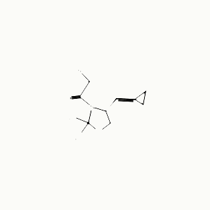 CC1(C)OC[C@H](C=C2CC2)N1C(=O)CN